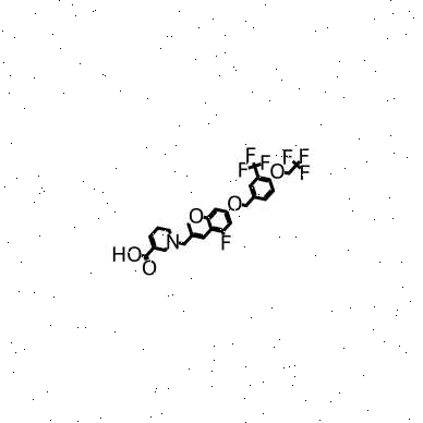 O=C(O)C1=CCCN(CC2=Cc3c(F)cc(OCc4ccc(OCC(F)(F)F)c(C(F)(F)F)c4)cc3OC2)C1